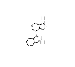 [c]1n[nH]c2cccc(-c3n[nH]c4ccccc34)c12